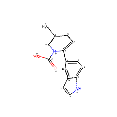 CC1CC=C(c2ccc3[nH]ccc3c2)N(C(=O)O)C1